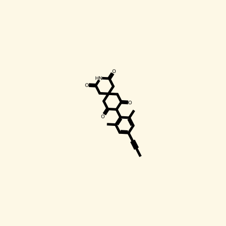 CC#Cc1cc(C)c(C2C(=O)CC3(CC(=O)NC(=O)C3)CC2=O)c(C)c1